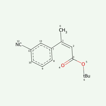 C/C(=C/C(=O)OC(C)(C)C)c1cccc(C#N)c1